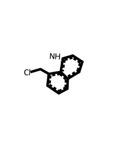 ClCc1cccc2ccccc12.N